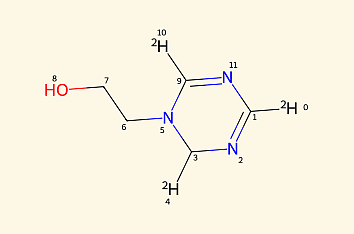 [2H]C1=NC([2H])N(CCO)C([2H])=N1